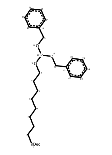 CCCCCCCCCCCCCCCCCCOP(OCc1ccccc1)OCc1ccccc1